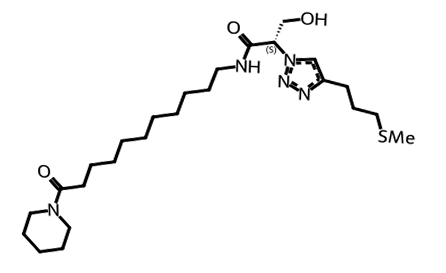 CSCCCc1cn([C@@H](CO)C(=O)NCCCCCCCCCCC(=O)N2CCCCC2)nn1